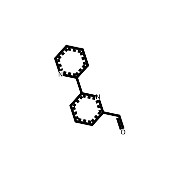 O=Cc1cccc(-c2ccccn2)n1